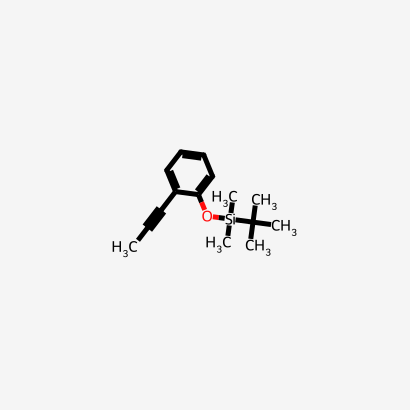 CC#Cc1ccccc1O[Si](C)(C)C(C)(C)C